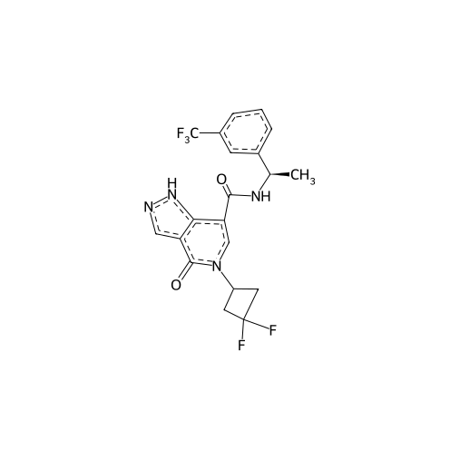 C[C@@H](NC(=O)c1cn(C2CC(F)(F)C2)c(=O)c2cn[nH]c12)c1cccc(C(F)(F)F)c1